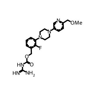 COCc1ccc(N2CCN(c3cccc(COC(=O)NC(=N)N)c3F)CC2)cn1